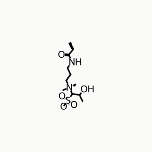 C=CC(=O)NCCC[N+](C)(C)C(C(C)O)S(=O)(=O)[O-]